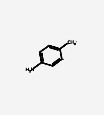 [CH2]c1[c]cc(N)cc1